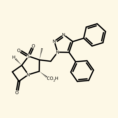 C[C@]1(Cn2nnc(-c3ccccc3)c2-c2ccccc2)[C@H](C(=O)O)N2C(=O)C[C@H]2S1(=O)=O